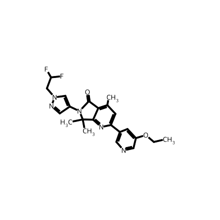 CCOc1cncc(-c2cc(C)c3c(n2)C(C)(C)N(c2cnn(CC(F)F)c2)C3=O)c1